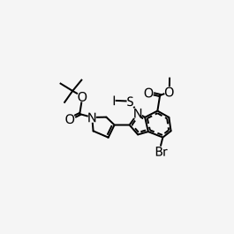 COC(=O)c1ccc(Br)c2cc(C3=CCN(C(=O)OC(C)(C)C)C3)n(SI)c12